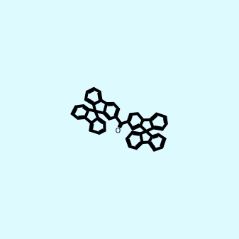 O=C(C1=CCC2C(=C1)C1(c3ccccc3-c3ccccc31)c1ccccc12)c1ccc2c(c1)C1(c3ccccc3-c3ccccc31)c1ccccc1-2